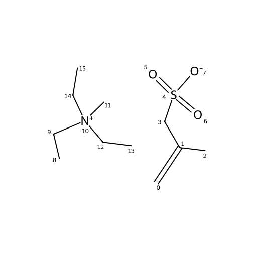 C=C(C)CS(=O)(=O)[O-].CC[N+](C)(CC)CC